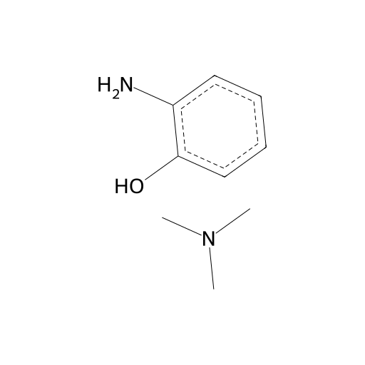 CN(C)C.Nc1ccccc1O